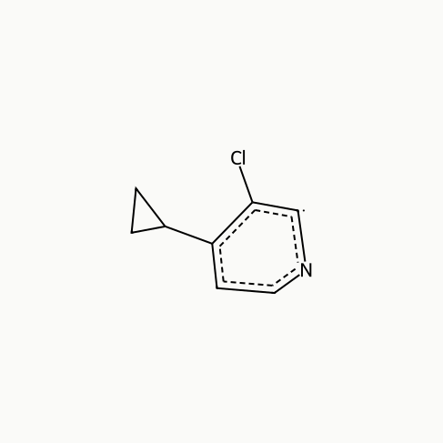 Clc1[c]nccc1C1CC1